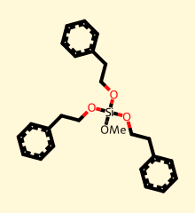 CO[Si](OCCc1ccccc1)(OCCc1ccccc1)OCCc1ccccc1